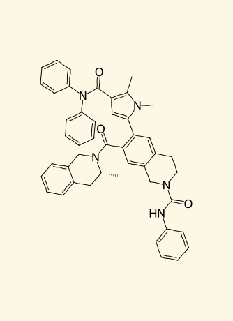 Cc1c(C(=O)N(c2ccccc2)c2ccccc2)cc(-c2cc3c(cc2C(=O)N2Cc4ccccc4C[C@H]2C)CN(C(=O)Nc2ccccc2)CC3)n1C